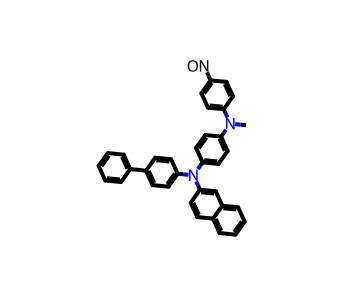 CN(c1ccc(N=O)cc1)c1ccc(N(c2ccc(-c3ccccc3)cc2)c2ccc3ccccc3c2)cc1